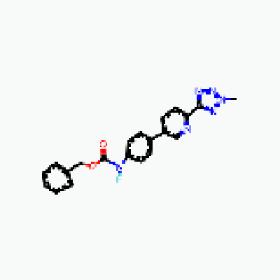 Cn1nnc(-c2ccc(-c3ccc(N(F)C(=O)OCc4ccccc4)cc3)cn2)n1